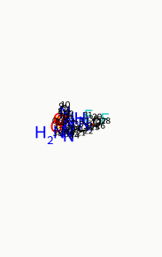 CS(=O)(=O)c1c(C2CC3CCC(C2)N3C(N)=O)nc2c(-c3ccc(-c4ccc(F)cc4F)nc3)cnn2c1N